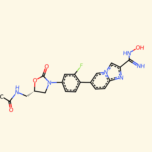 CC(=O)NC[C@H]1CN(c2ccc(-c3ccc4nc(C(=N)NO)cn4c3)c(F)c2)C(=O)O1